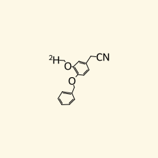 [2H]COc1cc(CC#N)ccc1OCc1ccccc1